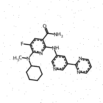 CN(c1nc(Nc2cncc(-c3ncccn3)c2)c(C(N)=O)cc1F)C1CCCCC1